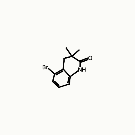 CC1(C)Cc2c(Br)cccc2NC1=O